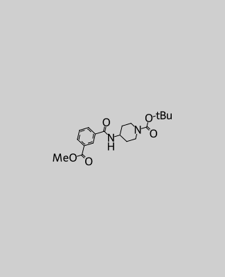 COC(=O)c1cccc(C(=O)NC2CCN(C(=O)OC(C)(C)C)CC2)c1